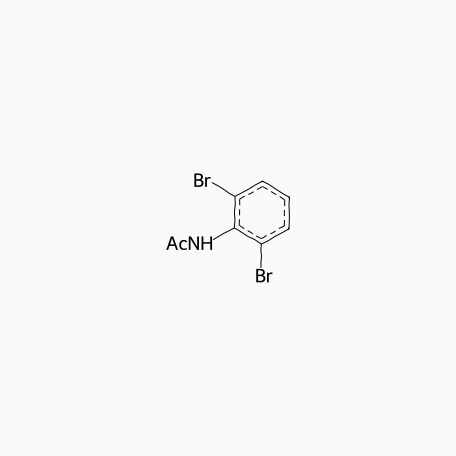 CC(=O)Nc1c(Br)cccc1Br